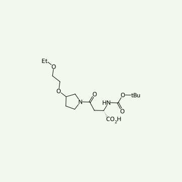 CCOCCOC1CCN(C(=O)C[C@H](NC(=O)OC(C)(C)C)C(=O)O)C1